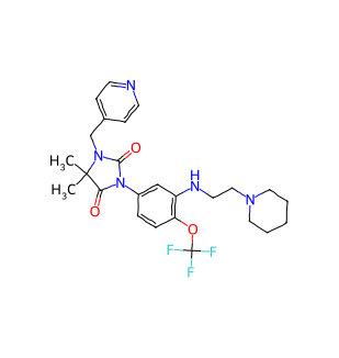 CC1(C)C(=O)N(c2ccc(OC(F)(F)F)c(NCCN3CCCCC3)c2)C(=O)N1Cc1ccncc1